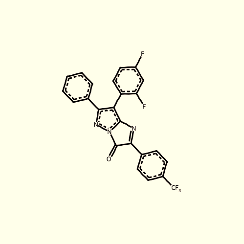 O=C1C(c2ccc(C(F)(F)F)cc2)=Nc2c(-c3ccc(F)cc3F)c(-c3ccccc3)nn21